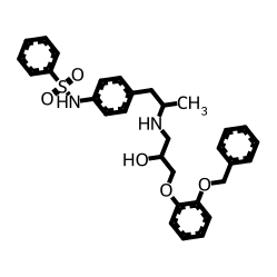 CC(Cc1ccc(NS(=O)(=O)c2ccccc2)cc1)NCC(O)COc1ccccc1OCc1ccccc1